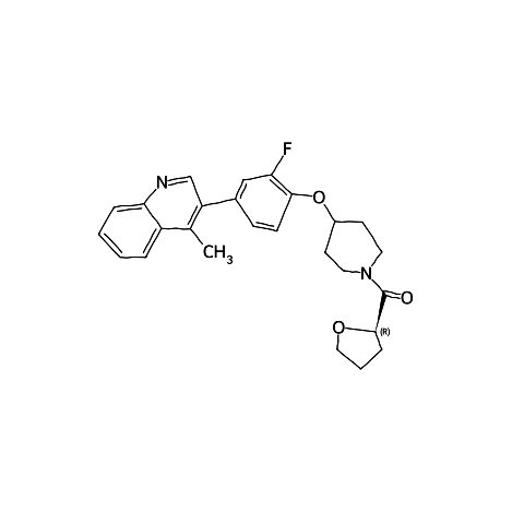 Cc1c(-c2ccc(OC3CCN(C(=O)[C@H]4CCCO4)CC3)c(F)c2)cnc2ccccc12